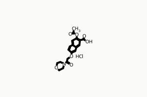 CC(=O)Oc1cc2ccc(OCC(=O)N3CCOCC3)cc2cc1C(=O)O.Cl